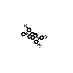 [C-]#[N+]c1cccc(N(c2ccc([Si](C)(C)C)cc2)c2ccc3ccc4c(N(c5ccccc5)c5cccc(C#N)c5)ccc5ccc2c3c54)c1